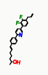 C=CCc1ccc(-c2ccc(-c3ccc(/C=C/CCCC(C)O)cc3)nc2)c(F)c1F